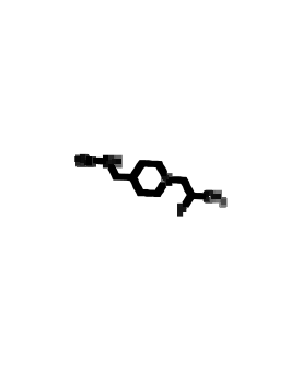 CC(F)CN1CCC(CNC(C)(C)C)CC1